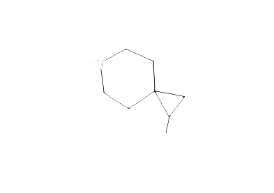 ClC1CC12CCNCC2